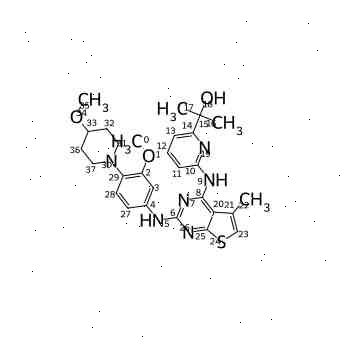 COc1cc(Nc2nc(Nc3cccc(C(C)(C)O)n3)c3c(C)csc3n2)ccc1N1CCC(OC)CC1